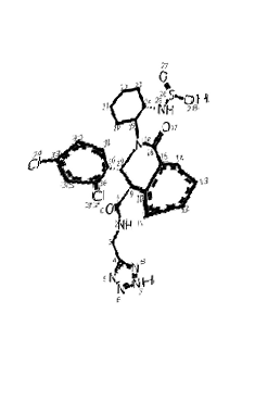 O=C(NCc1nn[nH]n1)[C@@H]1c2ccccc2C(=O)N(C2CCCC[C@@H]2NS(=O)O)[C@H]1c1ccc(Cl)cc1Cl